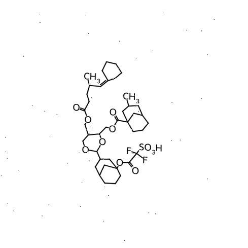 CC(C=C1CCCCC1)CCC(=O)OCC1COC(C2CC3CCCC(OC(=O)C(F)(F)S(=O)(=O)O)(C3)C2)OC1COC(=O)C12CCCC(CC(C)C1)C2